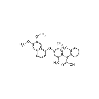 COc1cc2nccc(Oc3cc(C)c(N(C(=O)O)c4ccccc4C)cc3C)c2cc1OC